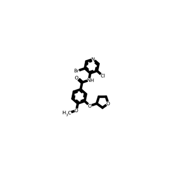 COc1ccc(C(=O)Nc2c(Cl)cncc2Br)cc1OC1CCOC1